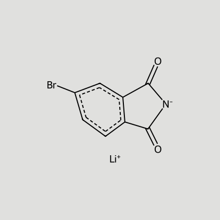 O=C1[N-]C(=O)c2cc(Br)ccc21.[Li+]